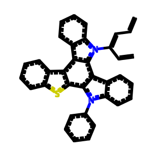 C=C/C=C(\C=C)n1c2ccccc2c2c3c4ccccc4sc3c3c(c4ccccc4n3-c3ccccc3)c21